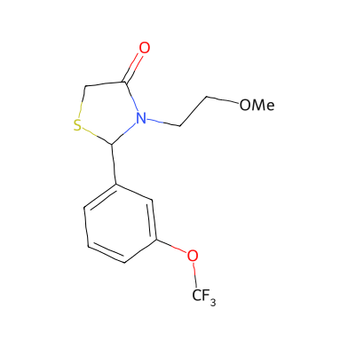 COCCN1C(=O)CSC1c1cccc(OC(F)(F)F)c1